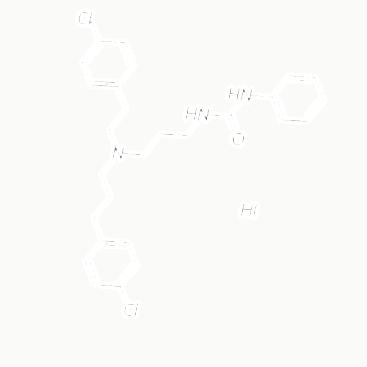 I.O=C(NCCCN(CCCc1ccc(Cl)cc1)CCc1ccc(Cl)cc1)Nc1ccccc1